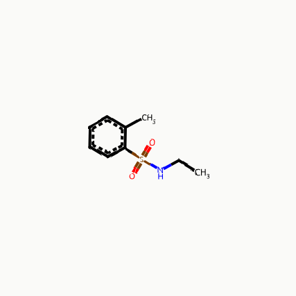 C[CH]NS(=O)(=O)c1ccccc1C